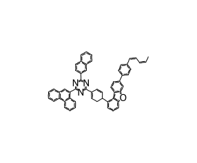 C/C=C\C=C/c1ccc(-c2ccc3c(c2)oc2cccc(C4C=CC(c5nc(-c6ccc7ccccc7c6)nc(-c6cc7ccccc7c7ccccc67)n5)=CC4)c23)cc1